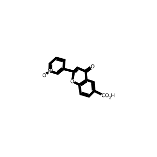 O=C(O)c1ccc2oc(-c3ccc[n+]([O-])c3)cc(=O)c2c1